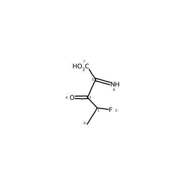 CC(F)C(=O)C(=N)C(=O)O